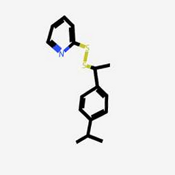 CC(C)c1ccc(C(C)SSc2ccccn2)cc1